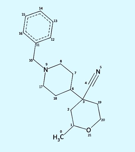 CC1CC(C#N)(C2CCN(Cc3ccccc3)CC2)CCO1